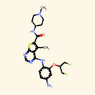 Cc1c(C(=O)NC2CCN(C)CC2)sc2ncnc(Nc3ccc(N)cc3OC(CF)CF)c12